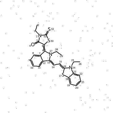 CCN1C(=O)C(=c2c3ccccc3c(=CC=C3Sc4ccccc4N3CC)n2CC)SC1=S